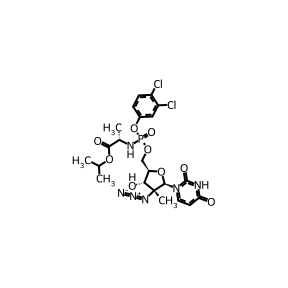 CC(C)OC(=O)[C@H](C)NP(=O)(OC[C@H]1O[C@@H](n2ccc(=O)[nH]c2=O)[C@](C)(N=[N+]=[N-])[C@@H]1O)Oc1ccc(Cl)c(Cl)c1